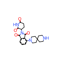 O=C1CCC(N2C(=O)c3cccc(N4CCC5(CCNCC5)CC4)c3C2=O)C(=O)N1